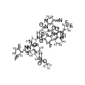 CN(CCNS(=O)(=O)c1cc(F)cc(N(C(=O)[C@@H]2CCC(=O)N2c2cc(C#N)ccn2)[C@@H](C(=O)NC2CC(F)(F)C2)c2ccccc2Cl)c1)C(=O)N1N=C(c2cc(F)ccc2F)SC1(CCCNC(=O)OC(C)(C)C)c1ccccc1